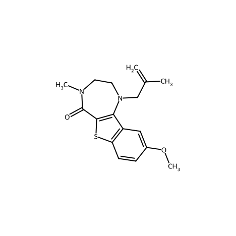 C=C(C)CN1CCN(C)C(=O)c2sc3ccc(OC)cc3c21